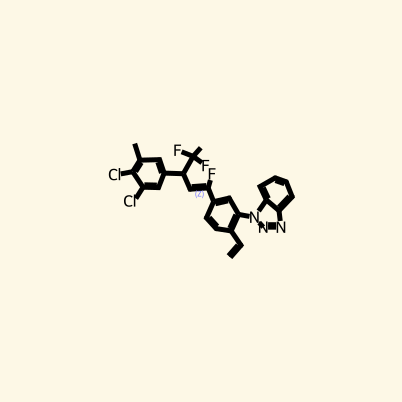 C=Cc1ccc(/C(F)=C/C(c2cc(C)c(Cl)c(Cl)c2)C(C)(F)F)cc1-n1nnc2ccccc21